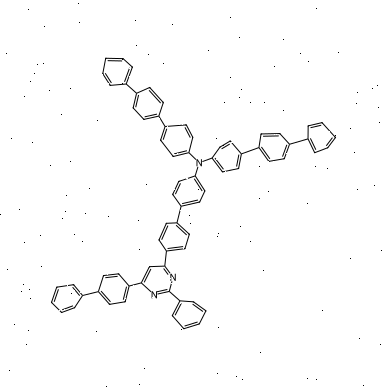 c1ccc(-c2ccc(-c3ccc(N(c4ccc(-c5ccc(-c6ccccc6)cc5)cc4)c4ccc(-c5ccc(-c6cc(-c7ccc(-c8ccccc8)cc7)nc(-c7ccccc7)n6)cc5)cc4)cc3)cc2)cc1